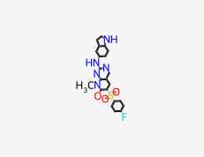 Cn1c(=O)c(S(=O)(=O)c2ccc(F)cc2)cc2cnc(Nc3ccc4[nH]ccc4c3)nc21